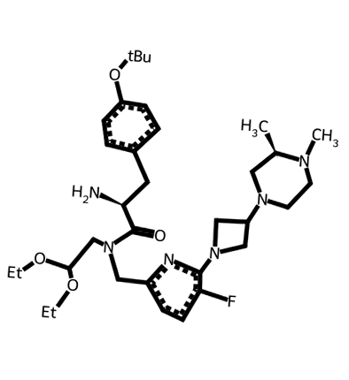 CCOC(CN(Cc1ccc(F)c(N2CC(N3CCN(C)[C@H](C)C3)C2)n1)C(=O)[C@@H](N)Cc1ccc(OC(C)(C)C)cc1)OCC